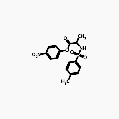 Cc1ccc(S(=O)(=O)NC(C)C(=O)Oc2ccc([N+](=O)[O-])cc2)cc1